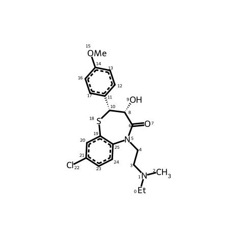 CCN(C)CCN1C(=O)[C@@H](O)[C@@H](c2ccc(OC)cc2)Sc2cc(Cl)ccc21